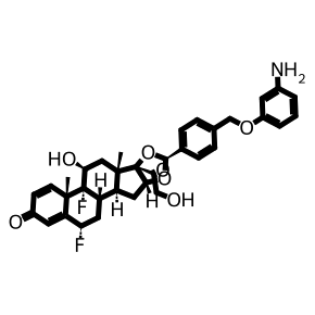 C[C@]12C=CC(=O)C=C1[C@@H](F)C[C@H]1[C@@H]3C[C@H]4O[C@H](c5ccc(COc6cccc(N)c6)cc5)O[C@@]4(C(=O)CO)[C@@]3(C)C[C@H](O)[C@@]12F